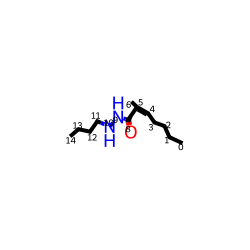 CCCCC=C(C)C(=O)NNCCCC